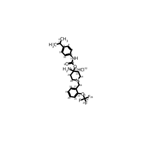 CC(C)c1ccc(NC(=O)OC2(N)CCN(Cc3ccccc3OC(F)(F)F)CC2)cc1.Cl